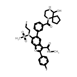 CNC(=O)c1c(-c2ccc(F)cc2)oc2cc(N(CCF)S(C)(=O)=O)c(-c3cccc(C(=O)N4CCNC(O)C45CCCC5)c3)cc12